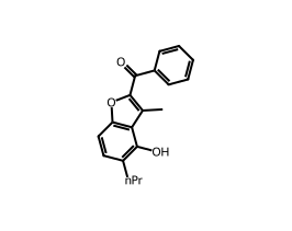 CCCc1ccc2oc(C(=O)c3ccccc3)c(C)c2c1O